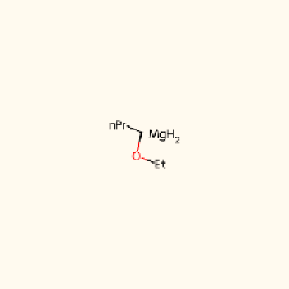 [CH2]COCCCC.[MgH2]